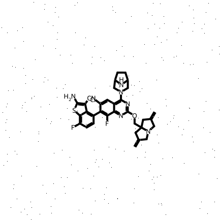 C=C1CN2CC(=C)CC2(COc2nc(N3CC4CCC(C3)N4)c3cc(Cl)c(-c4ccc(F)c5sc(N)c(C#N)c45)c(F)c3n2)C1